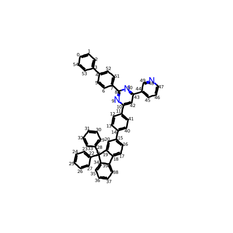 c1ccc(-c2ccc(-c3nc(-c4ccc(-c5ccc6c(c5)C(c5ccccc5)(c5ccccc5)c5ccccc5-6)cc4)cc(-c4cccnc4)n3)cc2)cc1